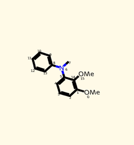 COc1cccc(N(C)c2ccccc2)c1OC